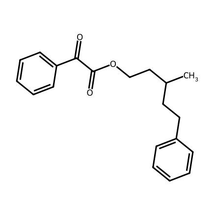 CC(CCOC(=O)C(=O)c1ccccc1)CCc1ccccc1